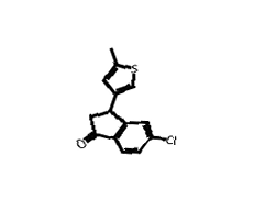 Cc1cc(C2CC(=O)c3ccc(Cl)cc32)cs1